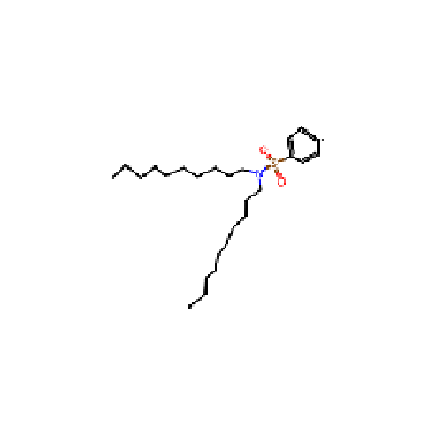 CCCCCCCCCCN(CCCCCCCCCC)S(=O)(=O)c1cc[c]cc1